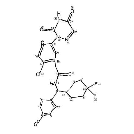 O=C(NC(c1ccc(Cl)cc1)C1CCC(F)(F)CC1)c1cc(-n2ncc(=O)[nH]c2=O)ncc1Cl